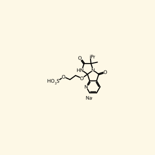 CC(C)C1(C)C(=O)NC2(OCCOS(=O)(=O)O)c3ncccc3C(=O)N21.[Na]